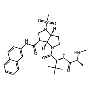 CN[C@@H](C)C(=O)N[C@H](C(=O)N1CC[C@@H]2[C@H]1[C@@H](C(=O)Nc1ccc3ccccc3c1)CN2S(C)(=O)=O)C(C)(C)C